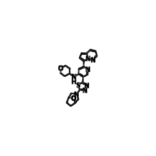 c1cnn2c(-c3cc(NC4CCOCC4)c(-c4nnc(N5CC6CCC(C5)O6)s4)cn3)ccc2c1